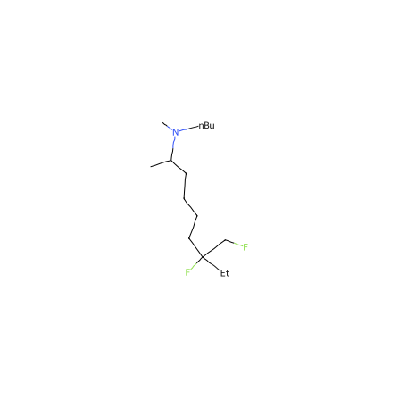 CCCCN(C)C(C)CCCCC(F)(CC)CF